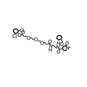 Cn1ccc(C(=O)NCCNC(=O)CCOCCOCCOCCC(=O)Oc2c(Cl)cccc2Cl)c(OCc2ccccc2)c1=O